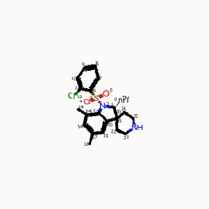 CCC[C@H]1N(S(=O)(=O)c2ccccc2Cl)c2c(C)cc(C)cc2C12CCNCC2